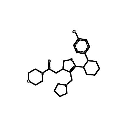 O=C(CC1CSC(C2CCCCC2c2ccc(Cl)cc2)=C1CN1CCCC1)N1CCOCC1